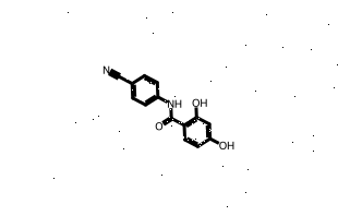 N#Cc1ccc(NC(=O)c2ccc(O)cc2O)cc1